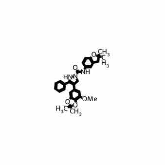 COc1cc(C2=C(c3ccccc3)NN(C(=O)Nc3ccc4c(c3)CC(C)(C)O4)C2)cc2c1OC(C)(C)O2